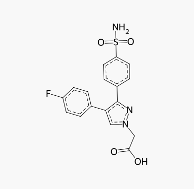 NS(=O)(=O)c1ccc(-c2nn(CC(=O)O)cc2-c2ccc(F)cc2)cc1